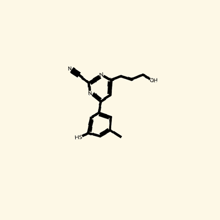 Cc1cc(S)cc(-c2cc(CCCO)nc(C#N)n2)c1